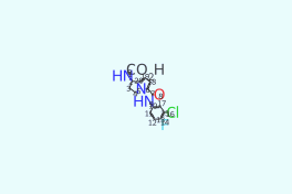 O=C(O)NC1CCn2c(C(=O)Nc3ccc(F)c(Cl)c3)ccc21